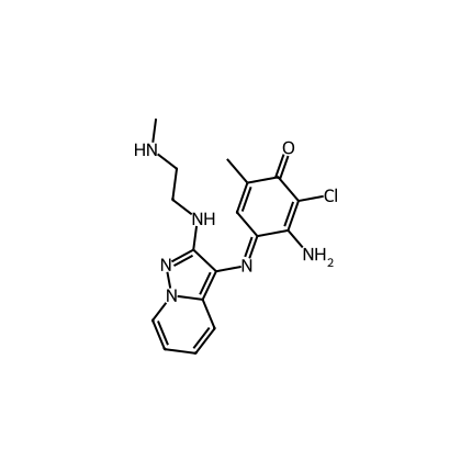 CNCCNc1nn2ccccc2c1/N=C1\C=C(C)C(=O)C(Cl)=C1N